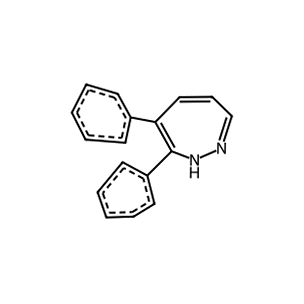 C1=CC(c2ccccc2)=C(c2ccccc2)NN=C1